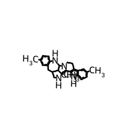 Cc1ccc2c(c1)CC1CNC3(C)C1C(N2)N1CCc2c([nH]c4ccc(C)cc24)C13C